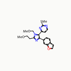 COCCc1nc(-c2ccc3ccoc3c2)c(-c2ccnc(SC)n2)n1COC